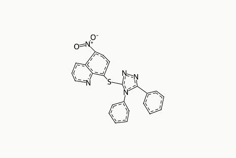 O=[N+]([O-])c1ccc(Sc2nnc(-c3ccccc3)n2-c2ccccc2)c2ncccc12